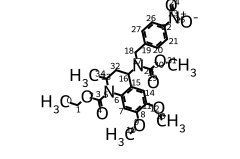 CCOC(=O)N1c2cc(OC)c(OC)cc2C(N(Cc2ccc([N+](=O)[O-])cc2)C(=O)OC)CC1C